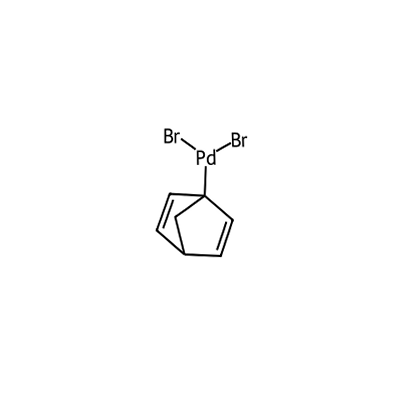 [Br][Pd]([Br])[C]12C=CC(C=C1)C2